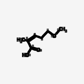 CO[CH]CC=C(C)C(=O)O